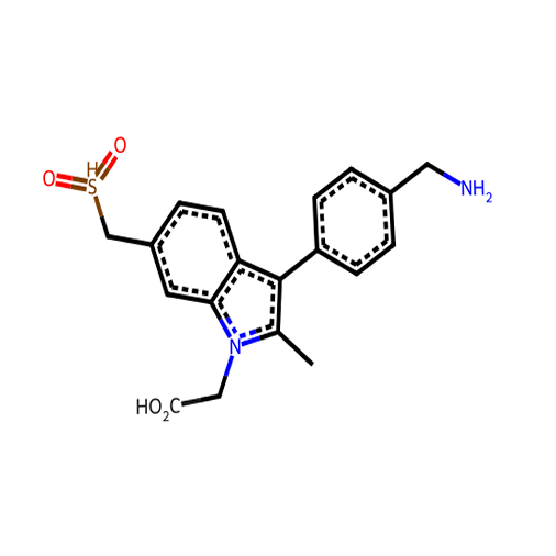 Cc1c(-c2ccc(CN)cc2)c2ccc(C[SH](=O)=O)cc2n1CC(=O)O